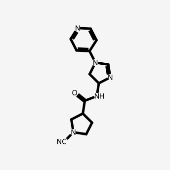 N#CN1CCC(C(=O)NC2CN(c3ccncc3)C=N2)C1